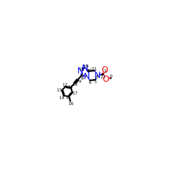 COC(=O)N1CCn2c(C#Cc3cccc(C)c3)nnc2C1